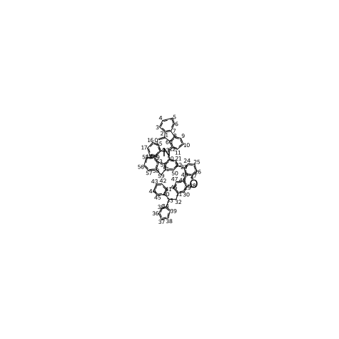 C=C1c2ccccc2-c2cccc(N(c3ccccc3)c3cc(-c4cccc5oc6cc(CC(c7ccccc7)c7ccccc7)ccc6c45)cc4c3-c3ccccc3C4)c21